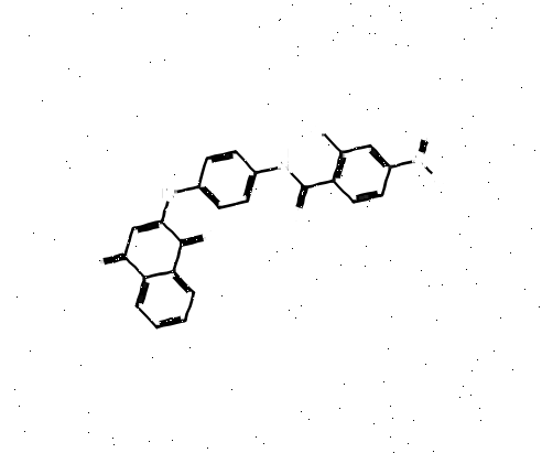 O=C(Nc1ccc(NC2=CC(=O)c3ccccc3C2=O)cc1)c1ccc([N+](=O)[O-])cc1Cl